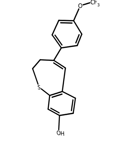 Oc1ccc2c(c1)SCCC(c1ccc(OC(F)(F)F)cc1)=C2